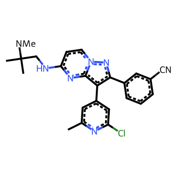 CNC(C)(C)CNc1ccn2nc(-c3cccc(C#N)c3)c(-c3cc(C)nc(Cl)c3)c2n1